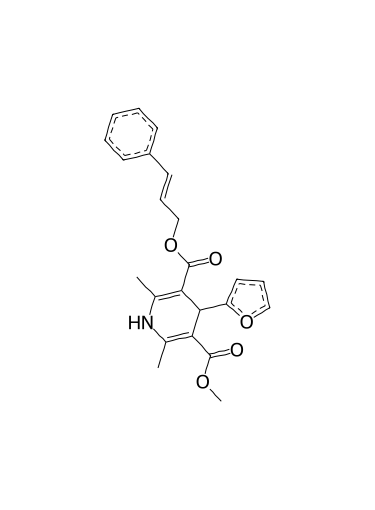 COC(=O)C1=C(C)NC(C)=C(C(=O)OC/C=C/c2ccccc2)C1c1ccco1